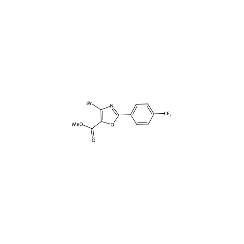 COC(=O)c1oc(-c2ccc(C(F)(F)F)cc2)nc1C(C)C